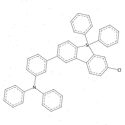 Clc1ccc2c(c1)[Si](c1ccccc1)(c1ccccc1)c1ccc(-c3cccc(N(c4ccccc4)c4ccccc4)c3)cc1-2